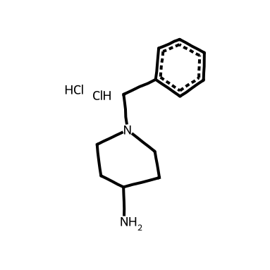 Cl.Cl.NC1CCN(Cc2ccccc2)CC1